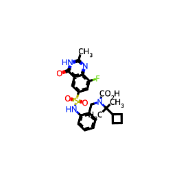 Cc1nc2c(F)cc(S(=O)(=O)Nc3ccccc3CN(C(=O)O)C(C)(C)C3CCC3)cc2c(=O)[nH]1